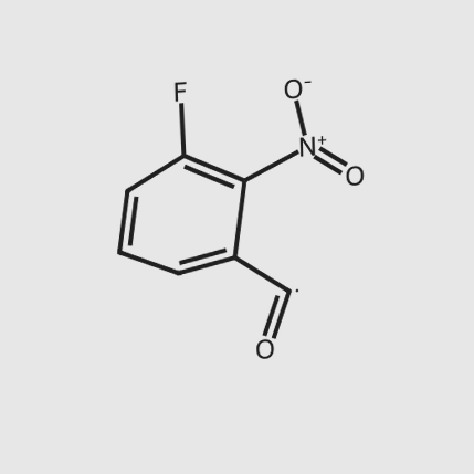 O=[C]c1cccc(F)c1[N+](=O)[O-]